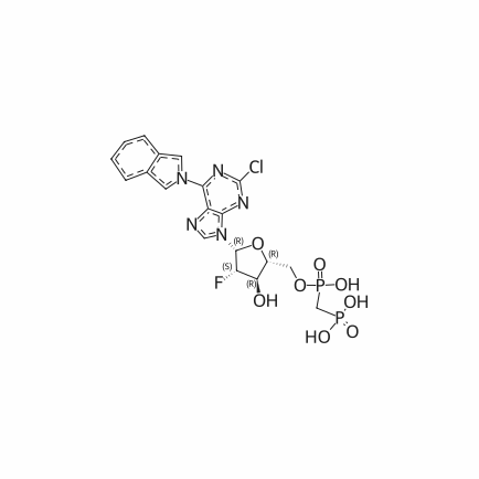 O=P(O)(O)CP(=O)(O)OC[C@H]1O[C@@H](n2cnc3c(-n4cc5ccccc5c4)nc(Cl)nc32)[C@@H](F)[C@@H]1O